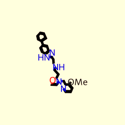 COc1cccnc1CN1C=COC1CCNCCc1nc2cc(-c3ccccc3)ccc2[nH]1